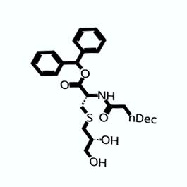 CCCCCCCCCCCC(=O)N[C@H](CSC[C@H](O)CO)C(=O)OC(c1ccccc1)c1ccccc1